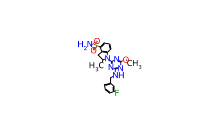 COc1nc(NCc2cccc(F)c2)nc(N2c3cccc(S(N)(=O)=O)c3CC2C)n1